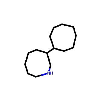 C1CCCC(C2CCCCCNC2)CCC1